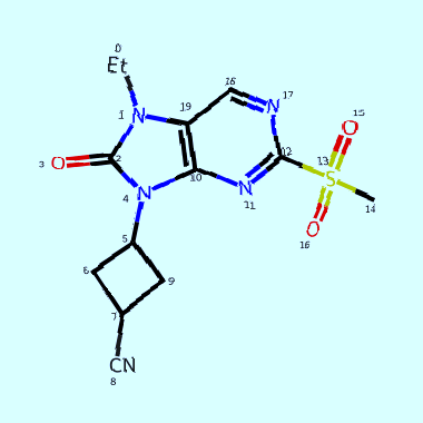 CCn1c(=O)n(C2CC(C#N)C2)c2nc(S(C)(=O)=O)ncc21